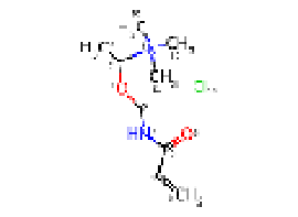 C=CC(=O)NCOC(C)[N+](C)(C)C.[Cl-]